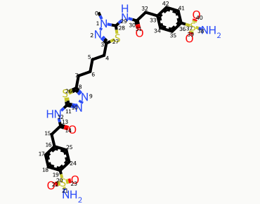 CN1N=C(CCCCc2nnc(NC(=O)Cc3ccc(S(N)(=O)=O)cc3)s2)SC1NC(=O)Cc1ccc(S(N)(=O)=O)cc1